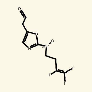 O=CCc1cnc([S@@+]([O-])CCC(F)=C(F)F)o1